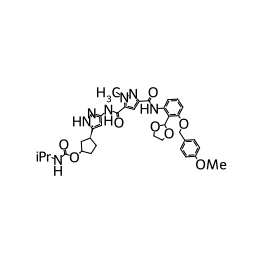 COc1ccc(COc2cccc(NC(=O)c3cc(C(=O)Nc4cc([C@H]5CC[C@@H](OC(=O)NC(C)C)C5)[nH]n4)n(C)n3)c2C2OCCO2)cc1